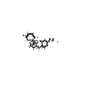 CCC(Cc1ccc(N)cc1)OC1(N)C=CC=CC1